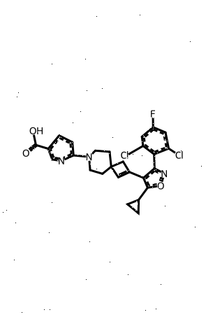 O=C(O)c1ccc(N2CCC3(C=C(c4c(-c5c(Cl)cc(F)cc5Cl)noc4C4CC4)C3)CC2)nc1